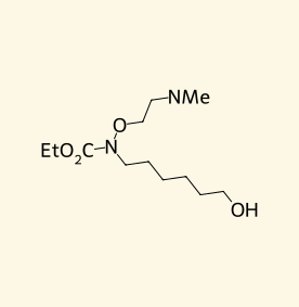 CCOC(=O)N(CCCCCCO)OCCNC